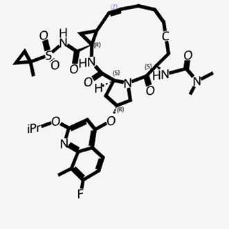 Cc1c(F)ccc2c(O[C@@H]3C[C@H]4C(=O)N[C@]5(C(=O)NS(=O)(=O)C6(C)CC6)CC5/C=C\CCCCC[C@H](NC(=O)N(C)C)C(=O)N4C3)cc(OC(C)C)nc12